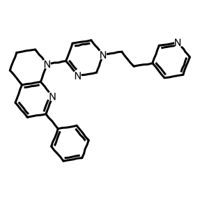 C1=CN(CCc2cccnc2)CN=C1N1CCCc2ccc(-c3ccccc3)nc21